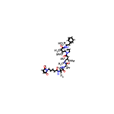 CC[C@H](C)[C@@H]([C@@H](CC(=O)N1CCC[C@H]1[C@H](OC)[C@@H](C)C(=O)N[C@@H](Cc1ccccc1)C(=O)O)OC)N(C)C(=O)[C@@H](NC(=O)C(C)(C)NC(=O)CCCCN1C(=O)C=CC1=O)C(C)C